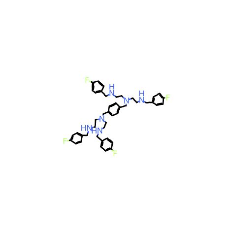 Fc1ccc(CNCCN(CCNCc2ccc(F)cc2)Cc2ccc(CN(CCNCc3ccc(F)cc3)CCNCc3ccc(F)cc3)cc2)cc1